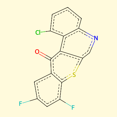 O=c1c2cc(F)cc(F)c2sc2cnc3cccc(Cl)c3c12